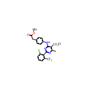 CCOC(=O)c1c(C)nc(-c2c(F)cccc2C(F)(F)F)nc1Nc1ccc(CC(=O)OC(C)(C)C)cc1